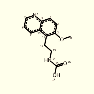 COc1ccc2ncccc2c1CCNC(=O)O